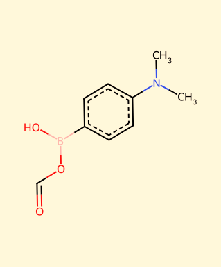 CN(C)c1ccc(B(O)OC=O)cc1